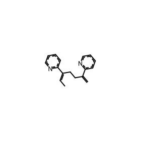 C=C(CC/C(=C\C)c1ccccn1)c1ccccn1